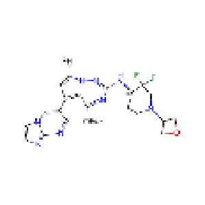 [2H]c1cc(-c2cnc3nccn3c2)c2c(OC)nc(N[C@@H]3CCN(C4COC4)CC3(F)F)nn12